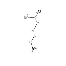 CCCCCCCC(Cl)Br